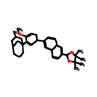 COC1=CCC(C2=CC3C=CC(B4OC(C)(C)C(C)(C)O4)=CC3C=C2)C=C1C12CCCC(CC(C)C1)C2